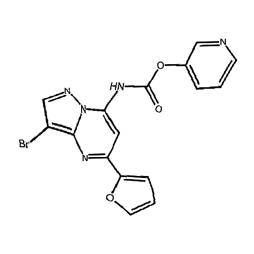 O=C(Nc1cc(-c2ccco2)nc2c(Br)cnn12)Oc1cccnc1